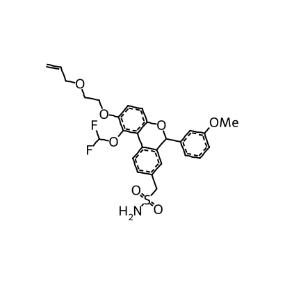 C=CCOCCOc1ccc2c(c1OC(F)F)-c1ccc(CS(N)(=O)=O)cc1C(c1cccc(OC)c1)O2